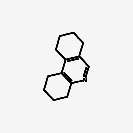 c1nc2c(c3c1CCCC3)CCCC2